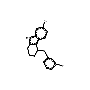 Oc1ccc2c3c([nH]c2c1)CCCC3Cc1cccc(F)c1